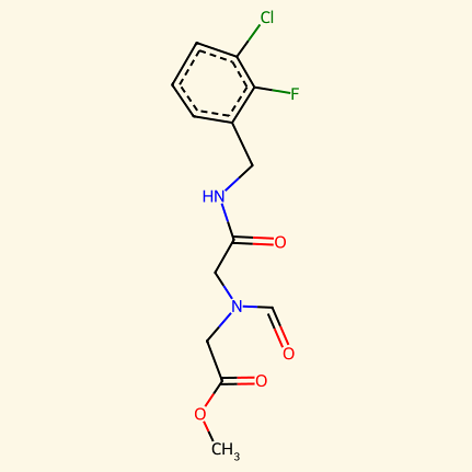 COC(=O)CN(C=O)CC(=O)NCc1cccc(Cl)c1F